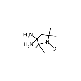 CC1(C)CC(N)(N)C(C)(C)N1[O]